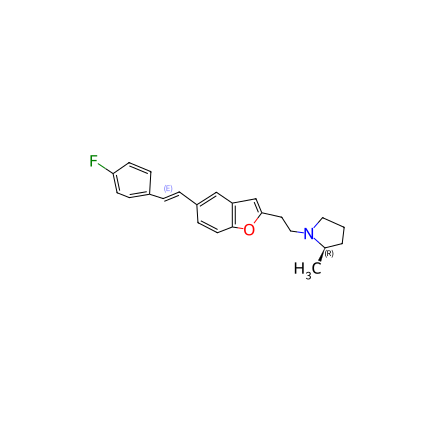 C[C@@H]1CCCN1CCc1cc2cc(/C=C/c3ccc(F)cc3)ccc2o1